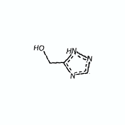 OCc1n[c]n[nH]1